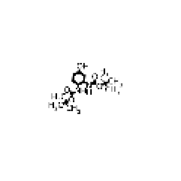 CC(C)(C)OC(=O)N[C@H]1CCC(O)C[C@H]1NC(=O)OC(C)(C)C